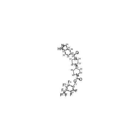 O=C(OCc1c(F)c(F)c(C(F)(F)F)c(F)c1F)N1CCC(N2CCN(C(=O)c3ccc4[nH]ncc4c3)CC2)CC1